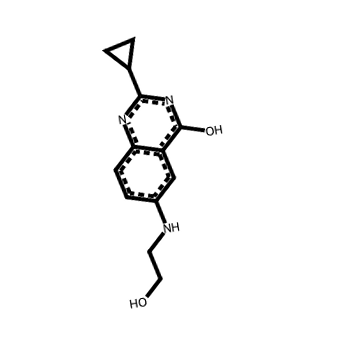 OCCNc1ccc2nc(C3CC3)nc(O)c2c1